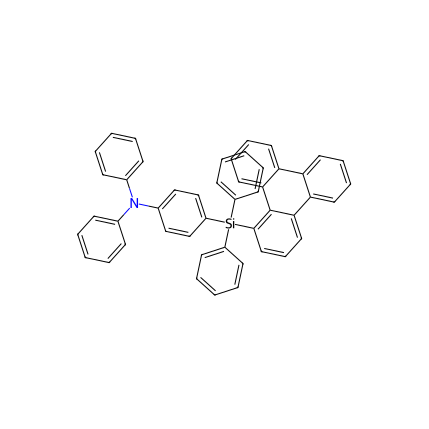 c1ccc(N(c2ccccc2)c2ccc([Si](c3ccccc3)(c3ccccc3)c3cccc4c5ccccc5c5ccccc5c34)cc2)cc1